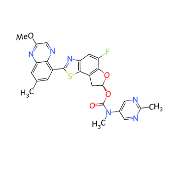 COc1cnc2c(-c3nc4cc(F)c5c(c4s3)C[C@H](OC(=O)N(C)c3cnc(C)nc3)O5)cc(C)cc2n1